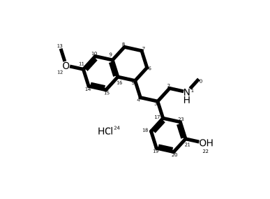 CNCC(CC1CCCc2cc(OC)ccc21)c1cccc(O)c1.Cl